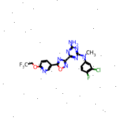 CN(c1ccc(F)c(Cl)c1)c1nc(N)nc(-c2noc(-c3ccc(OCC(F)(F)F)nc3)n2)n1